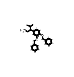 CC(C)C(CN)c1ccc(OCc2ccccc2)c(OCc2ccccc2)c1